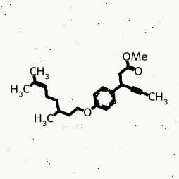 CC#CC(CC(=O)OC)c1ccc(OCCC(C)CCC=C(C)C)cc1